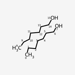 CCCCCCCO.CCCCCCCO